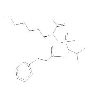 CC(C)[C@H](NC(=O)CCc1ccccc1)P(=O)(O)O[C@@H](CCCCCN)C(=O)O